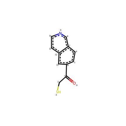 O=C(CS)c1ccc2cnccc2c1